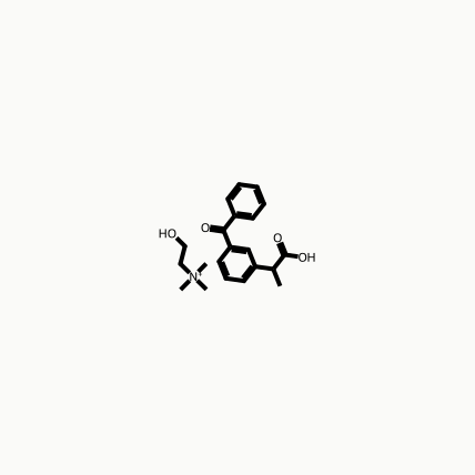 CC(C(=O)O)c1cccc(C(=O)c2ccccc2)c1.C[N+](C)(C)CCO